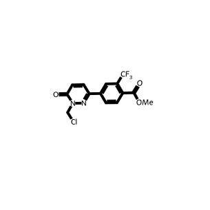 COC(=O)c1ccc(-c2ccc(=O)n(CCl)n2)cc1C(F)(F)F